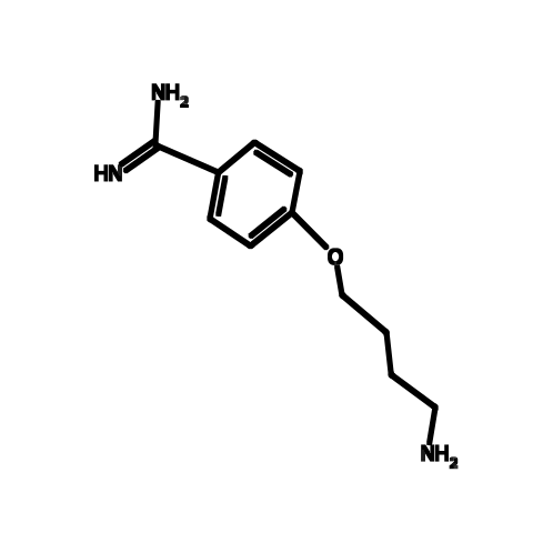 N=C(N)c1ccc(OCCCCN)cc1